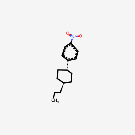 CCC[C@H]1CC[C@H](c2ccc([N+](=O)[O-])cc2)CC1